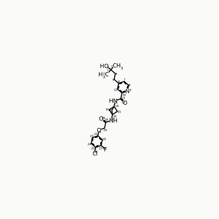 CC(C)(O)CCc1ccnc(C(=O)NC23CC(NC(=O)COc4ccc(Cl)c(F)c4)(C2)C3)c1